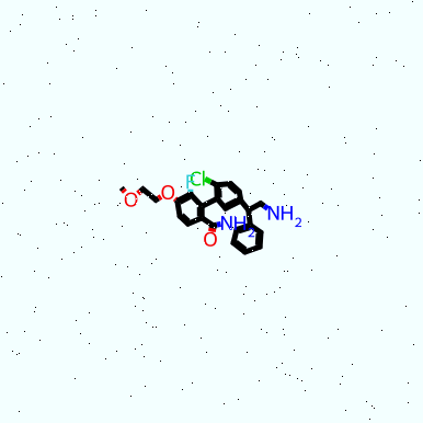 COCCOc1ccc(C(N)=O)c(-c2cc(C(CN)c3ccccc3)ccc2Cl)c1F